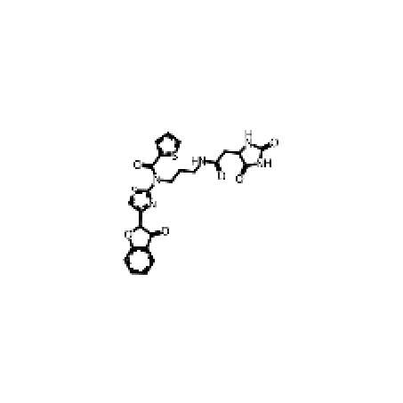 O=C(CC1NC(=O)NC1=O)NCCCN(C(=O)c1cccs1)c1nc(C2Oc3ccccc3C2=O)cs1